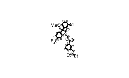 CCN(CC)Cc1cccc(C(=O)OCN2C(=O)[C@@](F)(c3cc(Cl)ccc3OC)c3ccc(C(F)(F)F)cc32)c1